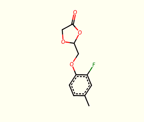 Cc1ccc(OCC2OCC(=O)O2)c(F)c1